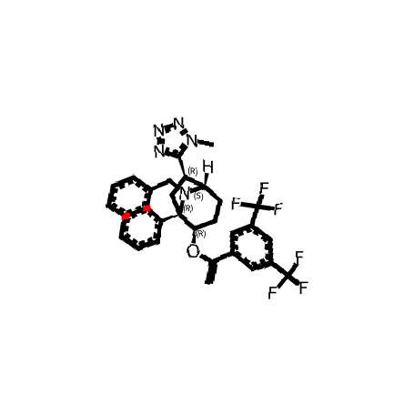 C=C(O[C@@H]1CC[C@H]2[C@H](c3nnnn3C)C[C@]1(c1ccccc1)N2Cc1ccccc1)c1cc(C(F)(F)F)cc(C(F)(F)F)c1